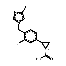 O=C(O)[C@H]1CC1c1ccc(Cn2cnc(F)c2)c(Cl)c1